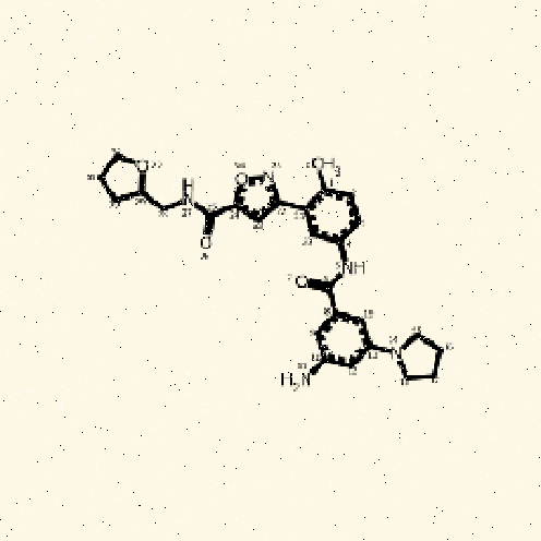 Cc1ccc(NC(=O)c2cc(N)cc(N3CCCC3)c2)cc1-c1cc(C(=O)NCC2CCCO2)on1